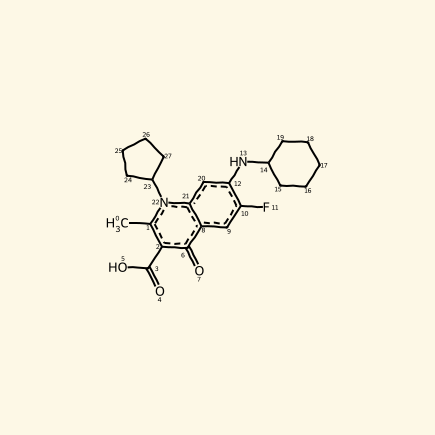 Cc1c(C(=O)O)c(=O)c2cc(F)c(NC3CCCCC3)cc2n1C1CCCC1